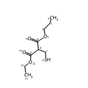 CCCOC(=O)C(CS)C(=O)OCC